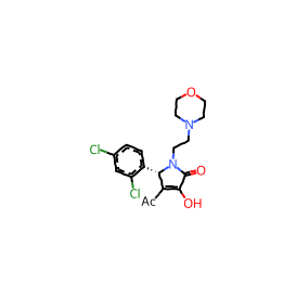 CC(=O)C1=C(O)C(=O)N(CCN2CCOCC2)[C@H]1c1ccc(Cl)cc1Cl